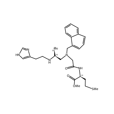 CC[C@H](C)[C@@H](CN(CC(=O)N[C@@H](CCSC)C(=O)OC)Cc1cccc2ccccc12)NCCc1c[nH]cn1